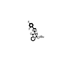 CC(C)(C)OC(=O)N1CCCC[C@H]1C(=O)Nc1nc(-c2ccc(F)cc2F)cs1